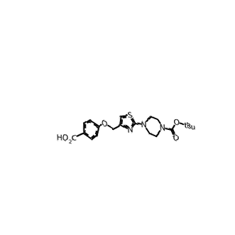 CC(C)(C)OC(=O)N1CCN(c2nc(COc3ccc(C(=O)O)cc3)cs2)CC1